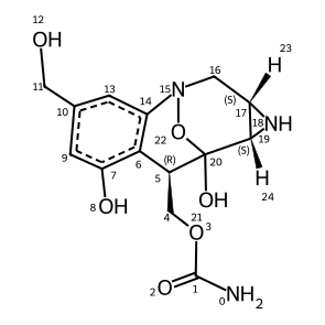 NC(=O)OC[C@H]1c2c(O)cc(CO)cc2N2C[C@@H]3N[C@@H]3C1(O)O2